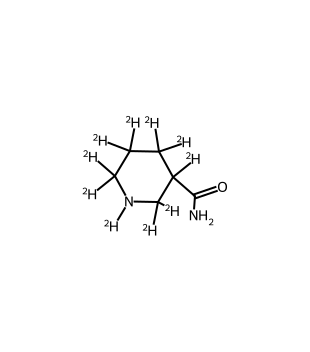 [2H]N1C([2H])([2H])C([2H])([2H])C([2H])([2H])C([2H])(C(N)=O)C1([2H])[2H]